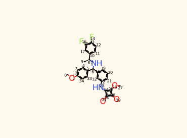 COc1ccc(C(N[C@@H](C)c2ccc(F)c(F)c2)c2cccc(Nc3c(OC)c(=O)c3=O)c2)cc1